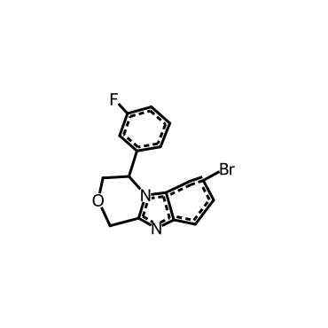 Fc1cccc(C2COCc3nc4ccc(Br)cc4n32)c1